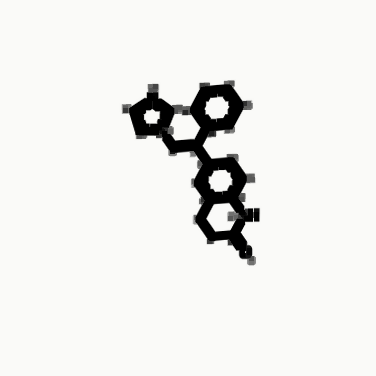 O=C1CCc2cc(C(=Cn3ccnc3)c3ccccc3)ccc2N1